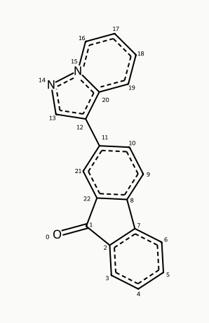 O=C1c2ccccc2-c2ccc(-c3cnn4ccccc34)cc21